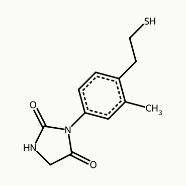 Cc1cc(N2C(=O)CNC2=O)ccc1CCS